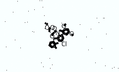 CCOC(=O)C[C@H]1O[C@H](c2cccc(C)c2C)c2cc(Cl)ccc2N(Cc2ccc(OC)cc2OC)C1=O